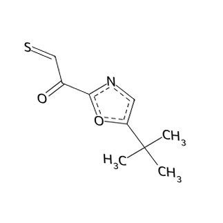 CC(C)(C)c1cnc(C(=O)C=S)o1